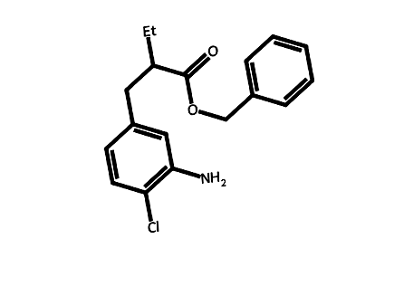 CCC(Cc1ccc(Cl)c(N)c1)C(=O)OCc1ccccc1